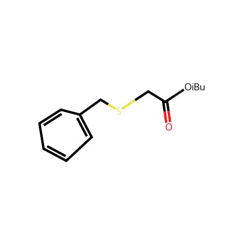 CC(C)COC(=O)CSCc1ccccc1